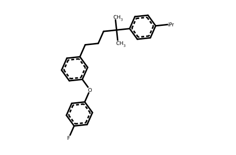 CC(C)c1ccc(C(C)(C)CCCc2cccc(Oc3ccc(F)cc3)c2)cc1